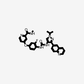 CNC(=O)c1cc(Oc2ccc(NC(=O)Nc3cn(C(C)C)nc3-c3ccc4ncccc4c3)c(F)c2)ccn1